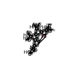 CCC(=O)Nc1cc2c(cc1NC(=O)CC)Oc1cc3c4cc1C(CC)c1cc5c(cc1O2)Oc1cc(NC(=O)CC)c(NC(=O)CC)cc1Oc1cc2c(cc1C5CC)C(CC)c1cc(c(cc1Oc1cc5c(cc1O2)nc1n5C(=O)[C@@]2(C)CC1(C)C[C@@](C)(C(=O)O)C2)Oc1cc(NC(=O)CC)c(NC(=O)CC)cc1O3)C4CC